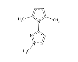 Cc1ccc(C)n1-c1ccn(C)n1